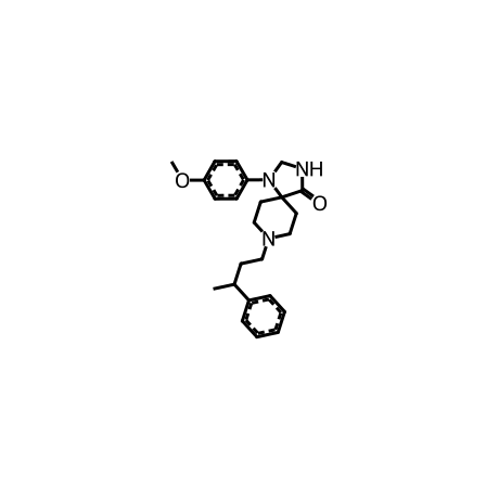 COc1ccc(N2CNC(=O)C23CCN(CCC(C)c2ccccc2)CC3)cc1